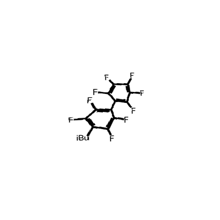 CCC(C)c1c(F)c(F)c(-c2c(F)c(F)c(F)c(F)c2F)c(F)c1F